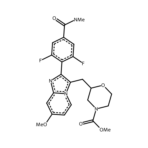 CNC(=O)c1cc(F)c(-c2nc3cc(OC)ccn3c2CC2CN(C(=O)OC)CCO2)c(F)c1